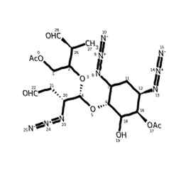 CC(=O)OCC(O[C@H](O[C@@H]1C(N=[N+]=[N-])C[C@@H](N=[N+]=[N-])[C@@H](OC(C)=O)C1O)[C@@H](CC=O)N=[N+]=[N-])[C@H](C)C=O